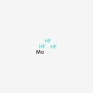 F.F.F.[Mo]